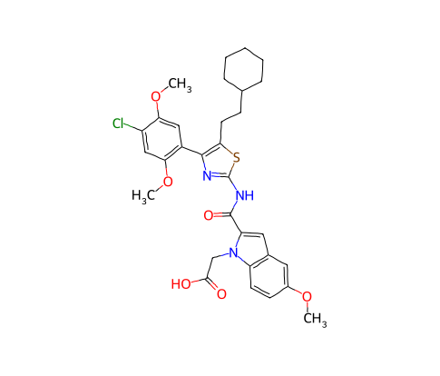 COc1ccc2c(c1)cc(C(=O)Nc1nc(-c3cc(OC)c(Cl)cc3OC)c(CCC3CCCCC3)s1)n2CC(=O)O